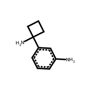 Nc1cccc(C2(N)CCC2)c1